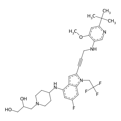 COc1cc(C(C)(C)C)ncc1NCC#Cc1cc2c(NC3CCN(CC(O)CO)CC3)cc(F)cc2n1CC(F)(F)F